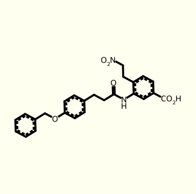 O=C(CCc1ccc(OCc2ccccc2)cc1)Nc1cc(C(=O)O)ccc1CC[N+](=O)[O-]